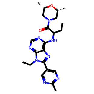 CCC(Nc1ncnc2c1nc(-c1cnc(C)nc1)n2CC)C(=O)N1C[C@@H](C)O[C@@H](C)C1